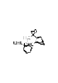 CC1(c2cc3cc-3c2C=O)CO1.O=Cc1ccccc1